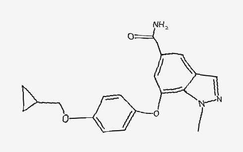 Cn1ncc2cc(C(N)=O)cc(Oc3ccc(OCC4CC4)cc3)c21